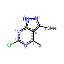 CSc1n[nH]c2nc(Cl)nc(C)c12